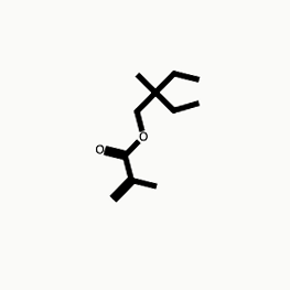 C=C(C)C(=O)OCC(C)(CC)CC